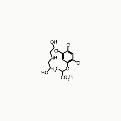 CC(Oc1cc(Cl)c(Cl)cc1Cl)C(=O)O.OCCNCCO